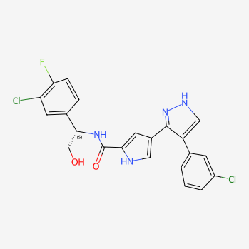 O=C(N[C@H](CO)c1ccc(F)c(Cl)c1)c1cc(-c2n[nH]cc2-c2cccc(Cl)c2)c[nH]1